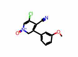 COc1cccc(C2=C(C#N)C(Cl)=C[N+](=O)C2)c1